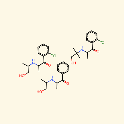 CC(CO)NC(C)C(=O)c1ccccc1.CC(CO)NC(C)C(=O)c1ccccc1Cl.CC(NC(C)(C)CO)C(=O)c1ccccc1Cl